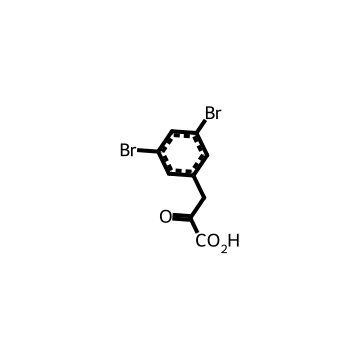 O=C(O)C(=O)Cc1cc(Br)cc(Br)c1